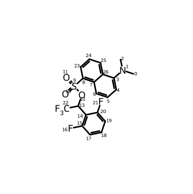 CN(C)c1cccc2c(S(=O)(=O)OC(c3c(F)cccc3F)C(F)(F)F)cccc12